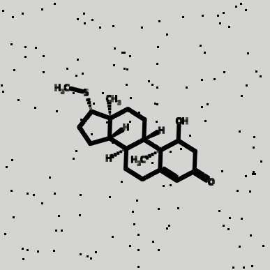 CS[C@H]1CC[C@H]2[C@@H]3CCC4=CC(=O)CC(O)[C@]4(C)[C@H]3CC[C@]12C